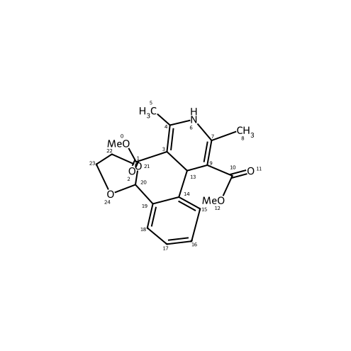 COC(=O)C1=C(C)NC(C)=C(C(=O)OC)C1c1ccccc1C1OCCO1